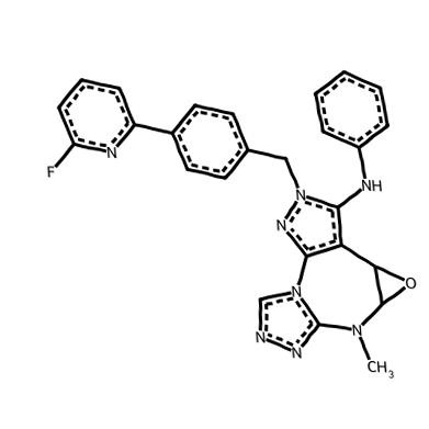 CN1c2nncn2-c2nn(Cc3ccc(-c4cccc(F)n4)cc3)c(Nc3ccccc3)c2C2OC21